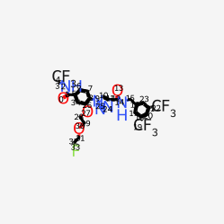 O=C(NCC(F)(F)F)c1ccc(-n2cc(C(=O)NCc3cc(C(F)(F)F)cc(C(F)(F)F)c3)nn2)c(OCCOCCF)c1